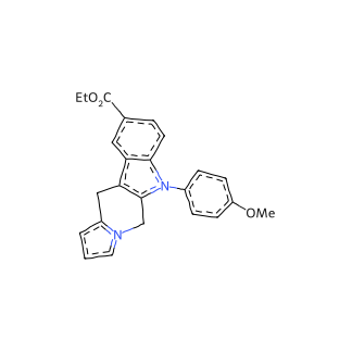 CCOC(=O)c1ccc2c(c1)c1c(n2-c2ccc(OC)cc2)Cn2cccc2C1